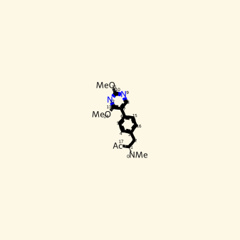 CN[C@@H](Cc1ccc(-c2cnc(OC)nc2OC)cc1)C(C)=O